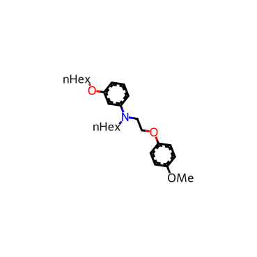 CCCCCCOc1cccc(N(CCCCCC)CCOc2ccc(OC)cc2)c1